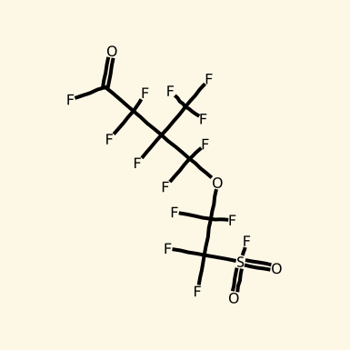 O=C(F)C(F)(F)C(F)(C(F)(F)F)C(F)(F)OC(F)(F)C(F)(F)S(=O)(=O)F